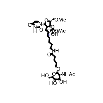 COC[C@H]1O[C@@H](n2ccc(=O)[nH]c2=O)C(C/C=C/CCCCNC(=O)CCCCO[C@@H]2O[C@H](CO)[C@H](O)[C@H](O)[C@H]2NC(C)=O)[C@H]1OP(=O)(O)OC